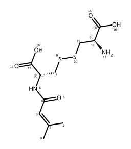 CC(C)=CC(=O)N[C@@H](CSSC[C@H](N)C(=O)O)C(=O)O